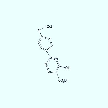 CCCCCCCCOc1ccc(-c2ncc(C(=O)OCC)c(O)n2)cc1